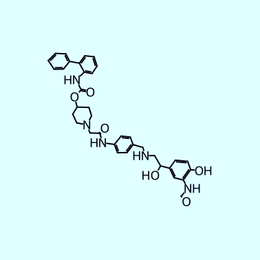 O=CNc1cc(C(O)CNCc2ccc(NC(=O)CN3CCC(OC(=O)Nc4ccccc4-c4ccccc4)CC3)cc2)ccc1O